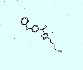 CC[C@H](C)CCCCn1cc(C(=O)c2ccc(Oc3ccccc3)cc2)nn1